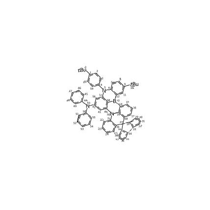 CC(C)(C)c1ccc(N2c3ccc(C(C)(C)C)cc3B3c4cccc5c4N(c4ccccc4C54c5ccccc5-c5ccccc54)c4cc(N(c5ccccc5)c5ccccc5)cc2c43)cc1